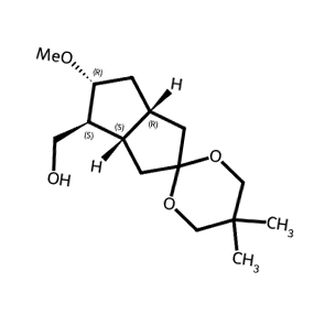 CO[C@@H]1C[C@@H]2CC3(C[C@@H]2[C@H]1CO)OCC(C)(C)CO3